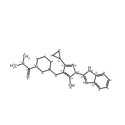 CN(C)C(=O)N1CCCC(Cc2c(C3CC3)nn(-c3nc4ccccc4[nH]3)c2O)C1